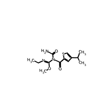 CCN=C(OC)N(C(N)=O)C(=O)c1cc(C(C)C)cs1